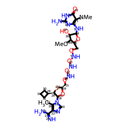 CNc1c(NC2OC(CONONONOC[C@H]3OC(n4cnc(C(=N)N)c4C)[C@@H](C4CCC4)S3)C(OC)C2O)nc(N)[nH]c1=O